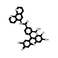 O=C(Nc1cc2cccnc2c2ncccc12)c1ccc(-c2c3cc(Cl)c(=O)cc-3oc3cc(O)c(Cl)cc23)c(C(=O)O)c1